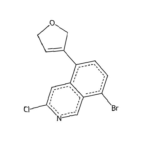 Clc1cc2c(C3=CCOC3)ccc(Br)c2cn1